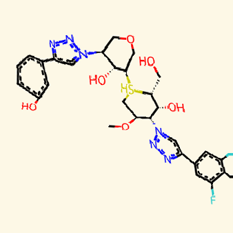 CO[C@H]1C[SH]([C@@H]2COC[C@H](n3cc(-c4cccc(O)c4)nn3)[C@H]2O)[C@H](CO)[C@H](O)[C@@H]1n1cc(-c2cc(F)c(F)c(F)c2)nn1